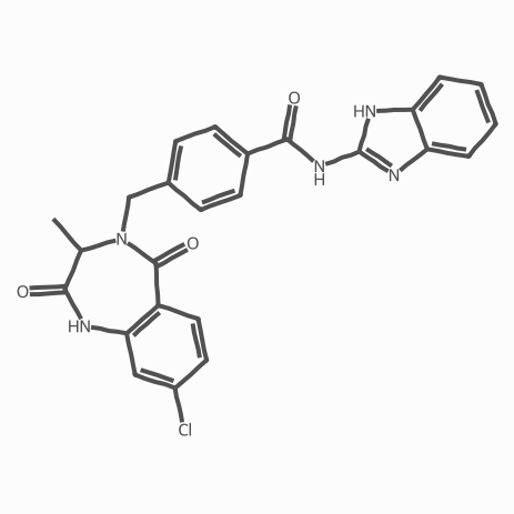 CC1C(=O)Nc2cc(Cl)ccc2C(=O)N1Cc1ccc(C(=O)Nc2nc3ccccc3[nH]2)cc1